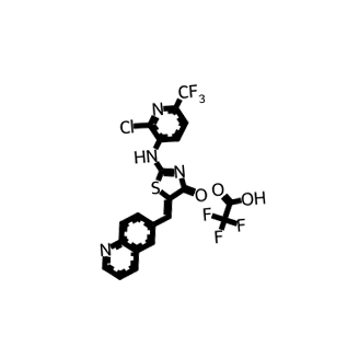 O=C(O)C(F)(F)F.O=C1N=C(Nc2ccc(C(F)(F)F)nc2Cl)S/C1=C\c1ccc2ncccc2c1